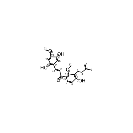 C=C(C)CCc1c(O)ccc(C(=O)C=Cc2cc(O)c(OC)cc2O)c1OC